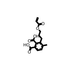 C=CC(=O)OCCCc1c(C)ccc(C(=O)O)c1C(=O)O